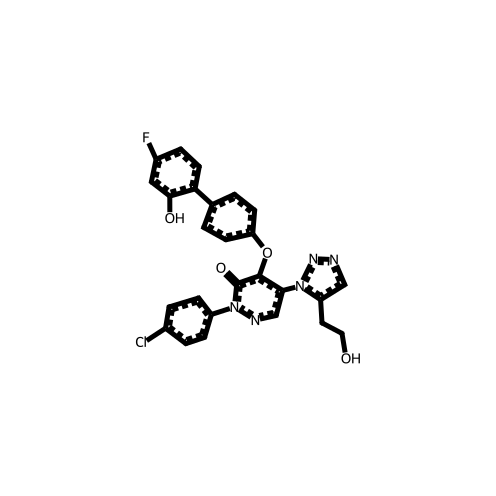 O=c1c(Oc2ccc(-c3ccc(F)cc3O)cc2)c(-n2nncc2CCO)cnn1-c1ccc(Cl)cc1